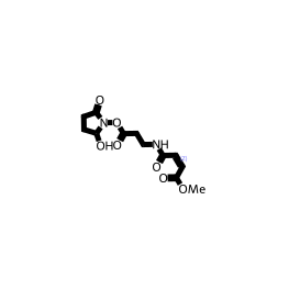 COC(=O)/C=C\C(=O)NCCC(=O)ON1C(=O)CCC1O